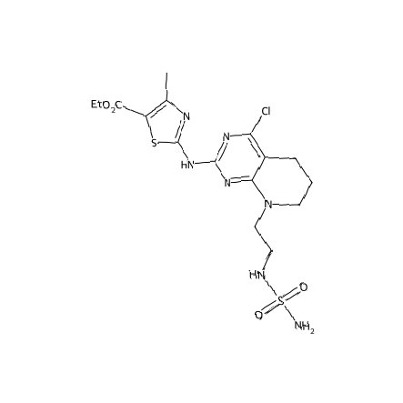 CCOC(=O)c1sc(Nc2nc(Cl)c3c(n2)N(CCNS(N)(=O)=O)CCC3)nc1C